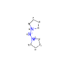 C1CCN([N+]N2CCCC2)C1